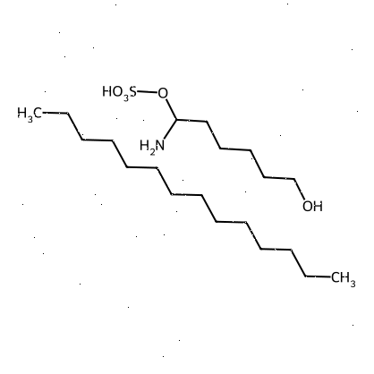 CCCCCCCCCCCCCC.NC(CCCCCO)OS(=O)(=O)O